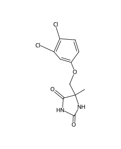 CC1(COc2ccc(Cl)c(Cl)c2)NC(=O)NC1=O